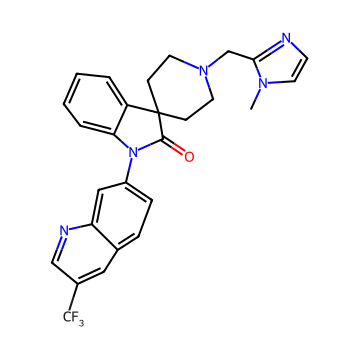 Cn1ccnc1CN1CCC2(CC1)C(=O)N(c1ccc3cc(C(F)(F)F)cnc3c1)c1ccccc12